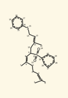 CC(C)=CCCC(C)=CC(CC(C)=CCSc1ccccc1)S(=O)(=O)c1ccccc1